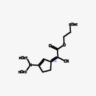 CCCCCCCCCCCCOC(=O)/C(C#N)=C1\C=C(N(CCCCCCCC)CCCCCCCC)CC1